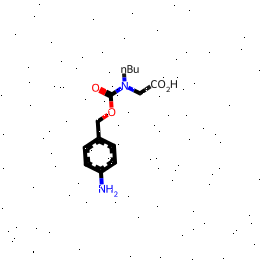 CCCCN(CC(=O)O)C(=O)OCc1ccc(N)cc1